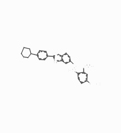 COc1cc(C(=O)O)ccc1NSc1ccc2sc(-c3ccc(C4CCCCC4)cc3)nc2c1